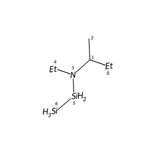 CCC(C)N(CC)[SiH2][SiH3]